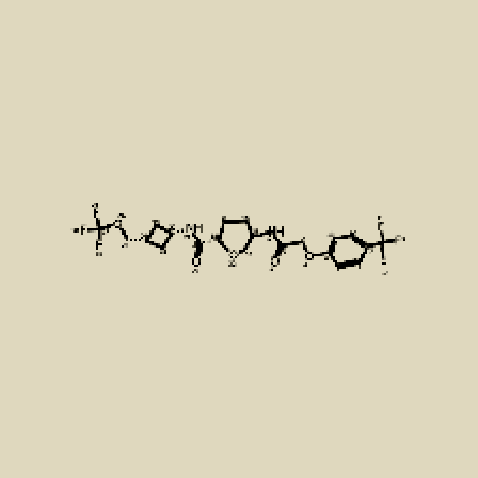 O=C(COc1ccc(C(F)(F)F)cc1)N[C@@H]1CC[C@@H](C(=O)N[C@H]2C[C@@H](COC(F)(F)F)C2)OC1